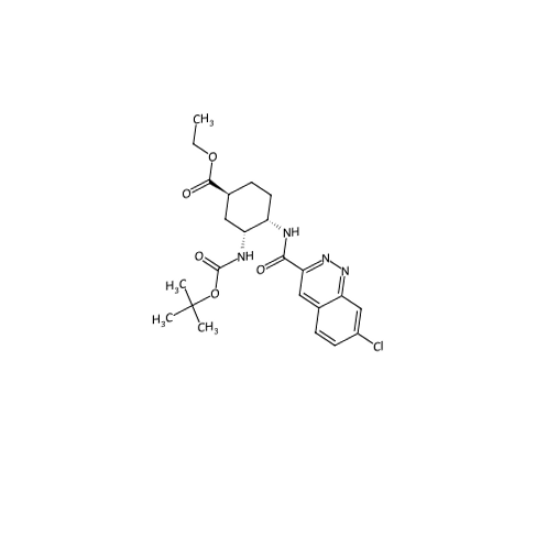 CCOC(=O)[C@H]1CC[C@H](NC(=O)c2cc3ccc(Cl)cc3nn2)[C@H](NC(=O)OC(C)(C)C)C1